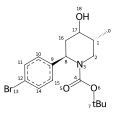 C[C@@H]1CN(C(=O)OC(C)(C)C)[C@@H](c2ccc(Br)cc2)CC1O